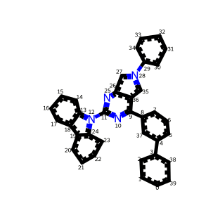 c1ccc(-c2cccc(-c3nc(-n4c5ccccc5c5ccccc54)nc4cn(-c5ccccc5)cc34)c2)cc1